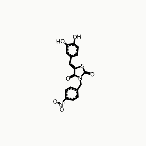 O=C1S/C(=C\c2ccc(O)c(O)c2)C(=O)N1Cc1ccc([N+](=O)[O-])cc1